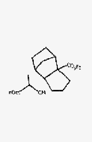 CCCCCCCCC(C)C#N.CCOC(=O)C12CCCC1C1CCC2C1